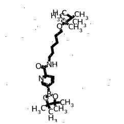 CC1(C)OB(c2ccc(C(=O)NCCCCCCO[Si](C)(C)C(C)(C)C)nc2)OC1(C)C